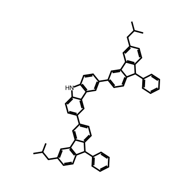 CC(C)Cc1ccc2c(c1)-c1cc(-c3ccc4[nH]c5ccc(-c6ccc7c(c6)-c6cc(CC(C)C)ccc6C7c6ccccc6)cc5c4c3)ccc1C2c1ccccc1